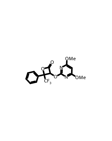 COc1cc(OC)nc(OC2C(=O)OC2(c2ccccc2)C(F)(F)F)n1